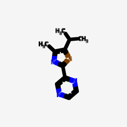 Cc1nc(-c2cnccn2)sc1C(C)C